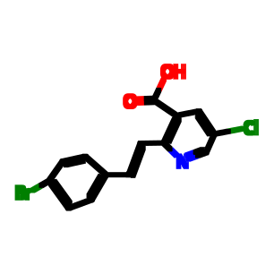 O=C(O)c1cc(Cl)cnc1/C=C/c1ccc(Br)cc1